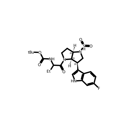 CCC(NC(=O)OC(C)(C)C)C(=O)N1CC[C@@H]2[C@H]1[C@H](c1c[nH]c3cc(F)ccc13)CN2[SH](=O)=O